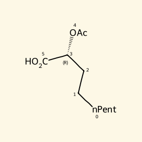 CCCCCCC[C@@H](OC(C)=O)C(=O)O